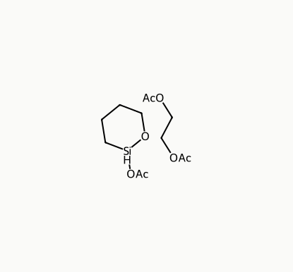 CC(=O)OCCOC(C)=O.CC(=O)O[SiH]1CCCCO1